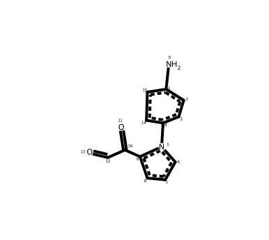 Nc1ccc(-n2cccc2C(=O)C=O)cc1